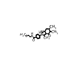 COCCNC(=O)c1ccc(N2NC3CC(C)C(C)C(=O)C3=C2C)cc1